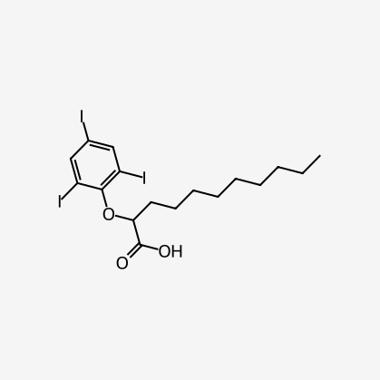 CCCCCCCCCC(Oc1c(I)cc(I)cc1I)C(=O)O